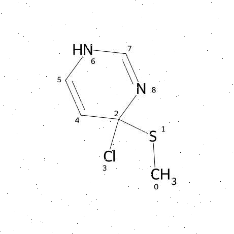 CSC1(Cl)C=CNC=N1